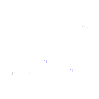 CSc1cc(C2=NN(C)C(=O)C2(C)N(O)C(=O)OC(C)(C)C)ccc1S(C)(=O)=O